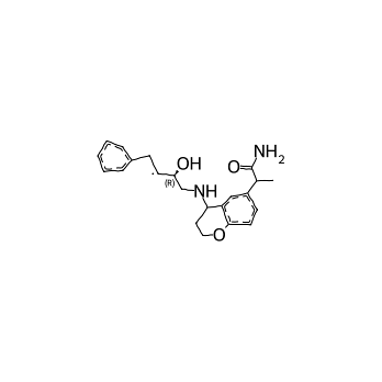 CC(C(N)=O)c1ccc2c(c1)C(NC[C@H](O)[CH]Cc1ccccc1)CCO2